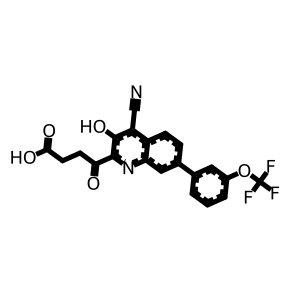 N#Cc1c(O)c(C(=O)CCC(=O)O)nc2cc(-c3cccc(OC(F)(F)F)c3)ccc12